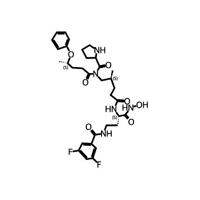 C[C@@H](CCC(=O)N[C@@H](CCNC(=O)c1cc(F)cc(F)c1)C(=O)NO)CN(C(=O)CC[C@H](C)Oc1ccccc1)C(=O)C1CCCN1